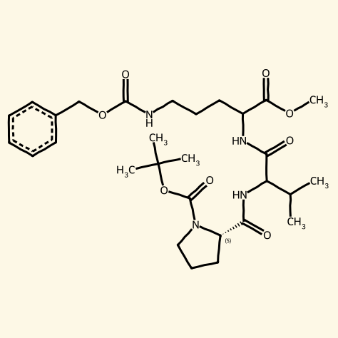 COC(=O)C(CCCNC(=O)OCc1ccccc1)NC(=O)C(NC(=O)[C@@H]1CCCN1C(=O)OC(C)(C)C)C(C)C